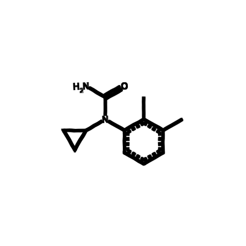 Cc1cccc(N(C(N)=O)C2CC2)c1C